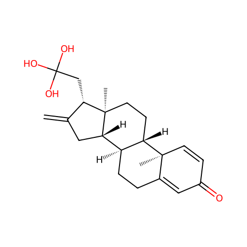 C=C1C[C@H]2[C@@H]3CCC4=CC(=O)C=C[C@]4(C)[C@H]3CC[C@]2(C)[C@H]1CC(O)(O)O